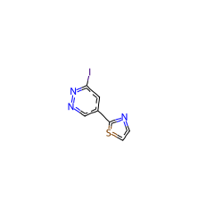 Ic1cc(-c2nccs2)cnn1